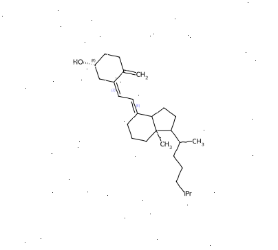 C=C1CC[C@@H](O)C/C1=C/C=C1\CCCC2(C)C1CCC2C(C)CCCC(C)C